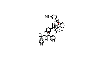 CN1CCN(C(=O)[C@@H](Cc2ccc(NC(=O)[C@](O)(NC(=O)C(F)(F)c3cccc(C#N)c3)C3CCCCC3)cc2)NC(=O)c2cnns2)CC1